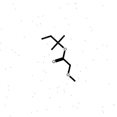 CCC(C)(C)OC(=O)COC